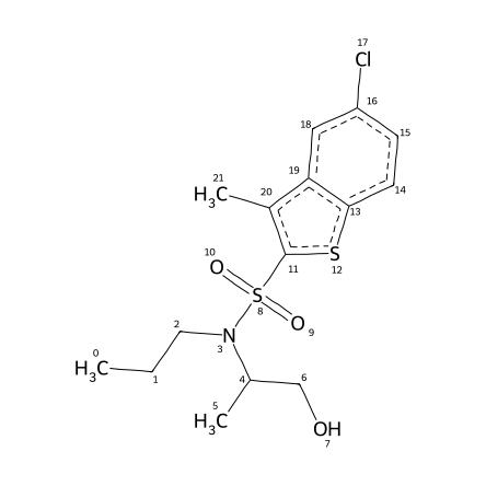 CCCN(C(C)CO)S(=O)(=O)c1sc2ccc(Cl)cc2c1C